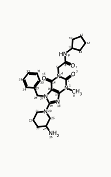 Cn1c(=O)n(CC(=O)NC2CCCC2)c(=O)c2c1nc(N1CCCC(N)C1)n2Cc1ccccc1